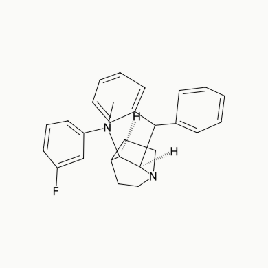 CN(c1cccc(F)c1)[C@@H]1C2CCN(CC2)[C@@H]1C(c1ccccc1)c1ccccc1